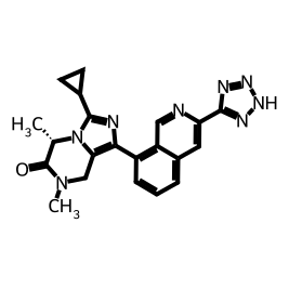 C[C@H]1C(=O)N(C)Cc2c(-c3cccc4cc(-c5nn[nH]n5)ncc34)nc(C3CC3)n21